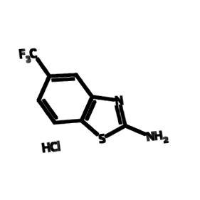 Cl.Nc1nc2cc(C(F)(F)F)ccc2s1